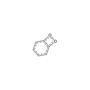 c1ccc2ooc2c1